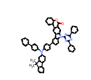 CC1(C)c2ccccc2-c2ccc(N(c3ccc(-c4ccccc4)cc3)c3ccc(-c4ccc5c(c4)c4cc6c(cc4n5-c4nc(-c5ccccc5)nc(-c5ccccc5)n4)c(=O)oc4ccccc46)cc3)cc21